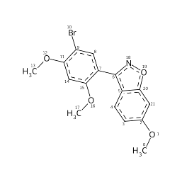 COc1ccc2c(-c3cc(Br)c(OC)cc3OC)noc2c1